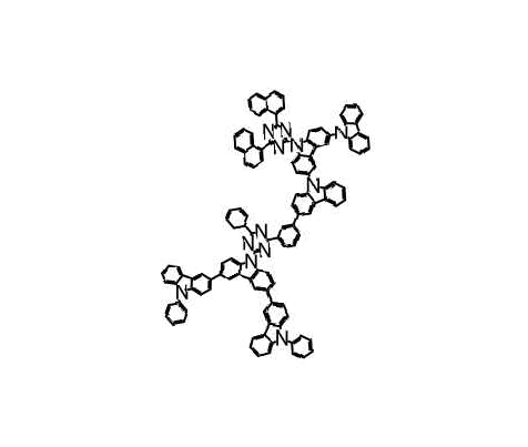 C1=CCC(c2nc(-c3cccc(-c4ccc5c(c4)c4ccccc4n5-c4ccc5c(c4)c4cc(-n6c7ccccc7c7ccccc76)ccc4n5-c4nc(-c5cccc6ccccc56)nc(-c5cccc6ccccc56)n4)c3)nc(-n3c4ccc(-c5ccc6c(c5)c5ccccc5n6-c5ccccc5)cc4c4cc(-c5ccc6c(c5)c5ccccc5n6-c5ccccc5)ccc43)n2)C=C1